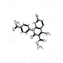 COC(=O)c1c(N)c2ccc(Br)nc2n(-c2ccc(C(C)=O)cc2)c1=O